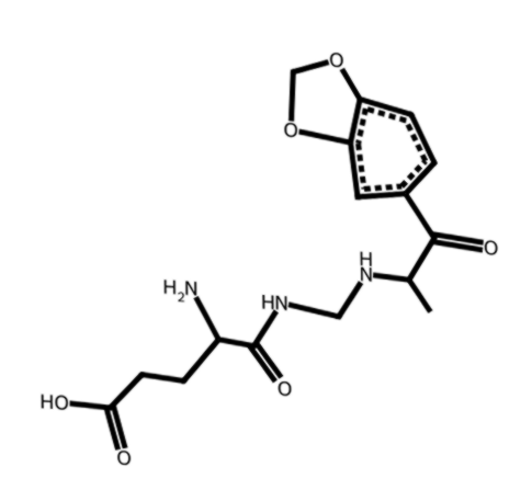 CC(NCNC(=O)C(N)CCC(=O)O)C(=O)c1ccc2c(c1)OCO2